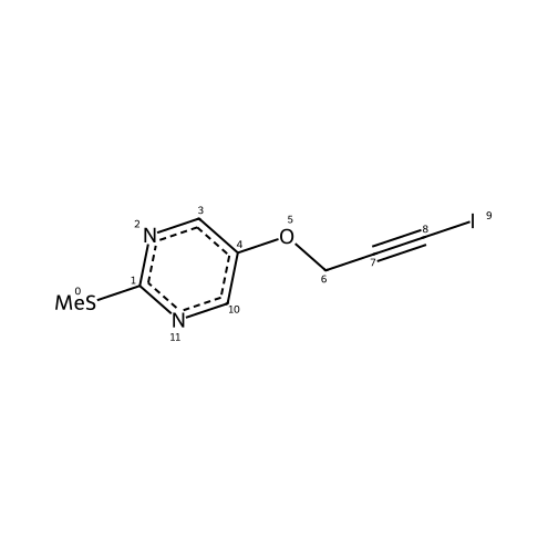 CSc1ncc(OCC#CI)cn1